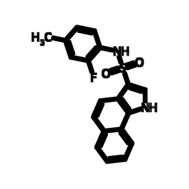 Cc1ccc(NS(=O)(=O)c2c[nH]c3c2ccc2ccccc23)c(F)c1